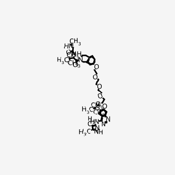 CNCC(=O)NC(C(=O)N1CCc2ccc(OCCOCCOCCOCCOc3cc4ncnc(Nc5n[nH]c(C)c5C)c4cc3[S+]([O-])C(C)(C)C)cc2C1)C(C)(C)C